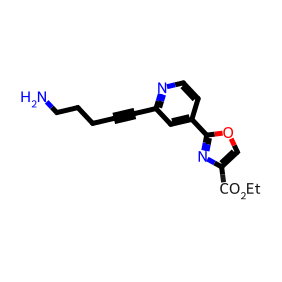 CCOC(=O)c1coc(-c2ccnc(C#CCCCN)c2)n1